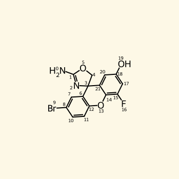 NC1=NC2(CO1)c1cc(Br)ccc1Oc1c(F)cc(O)cc12